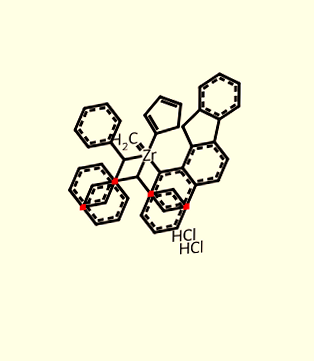 Cl.Cl.[CH2]=[Zr]([C]1=CC=CC1)([c]1cccc2ccc3c(c12)Cc1ccccc1-3)([CH](c1ccccc1)c1ccccc1)[CH](c1ccccc1)c1ccccc1